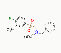 O=C(O)N(Cc1ccccc1)CS(=O)(=O)c1ccc(F)c([N+](=O)[O-])c1